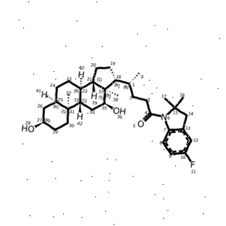 C[C@H](CCC(=O)N1c2ccc(F)cc2CC1(C)C)[C@H]1CC[C@H]2[C@@H]3CC[C@@H]4C[C@H](O)CC[C@]4(C)[C@H]3C[C@H](O)[C@]12C